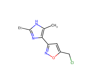 CCc1nc(-c2cc(CCl)on2)c(C)[nH]1